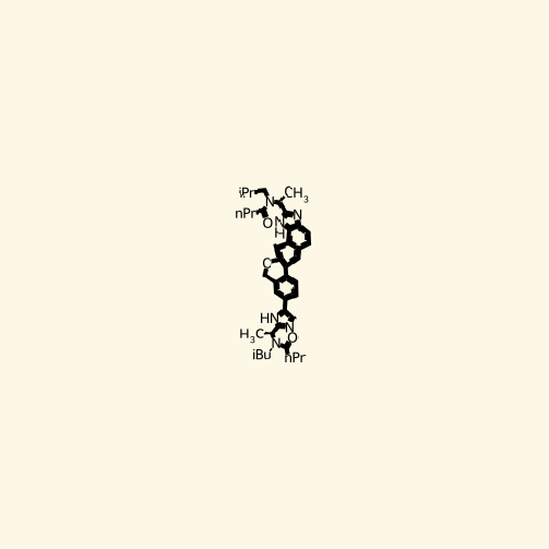 CCCC(=O)N(CC(C)C)[C@@H](C)c1nc2ccc3cc4c(cc3c2[nH]1)OCc1cc(-c2cnc([C@H](C)N(C(=O)CCC)[C@@H](C)CC)[nH]2)ccc1-4